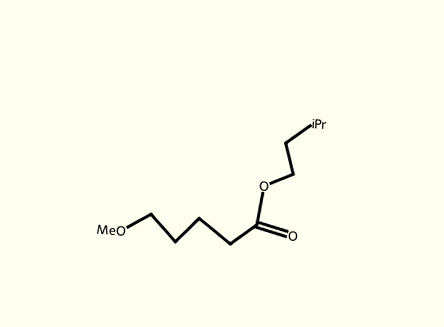 COCCCCC(=O)OCCC(C)C